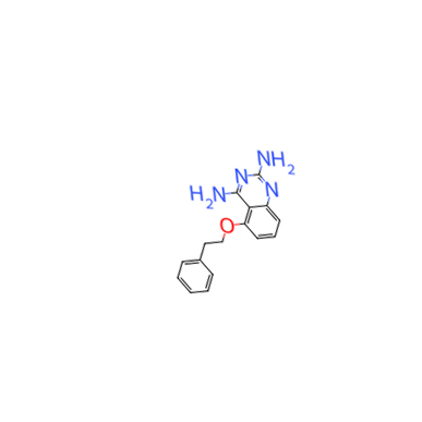 Nc1nc(N)c2c(OCCc3ccccc3)cccc2n1